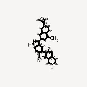 Cc1cc(-c2n[nH]c3cc(C#N)c(-c4c(F)cc5c(c4F)CNCC5)cc23)cc2c1CCN(C1COC1)C2